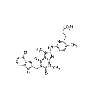 Cc1ccc(Nc2nc3c(c(=O)n(Cc4cc5c(Cl)cccc5[nH]4)c(=O)n3C)n2C)nc1CCC(=O)O